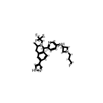 CC1Cc2cc(-c3cn[nH]c3)ccc2C(c2ccc(NC3CN(CCCF)C3)cn2)N1CC(F)(F)F